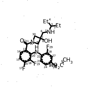 CC(=O)O.CCC(CC)NCC1(O)CN(C(=O)c2ccc(F)c(F)c2Nc2ccc(I)cc2F)C1